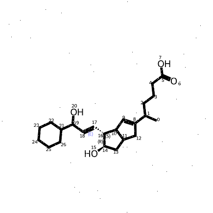 CC(CCCC(=O)O)C1=CC2C(C1)C[C@@H](O)[C@@H]2/C=C/C(O)C1CCCCC1